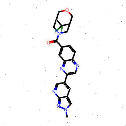 Cn1cc2cc(-c3cnc4ccc(C(=O)N5CC6COCC(C5)C6(F)F)cc4n3)cnc2n1